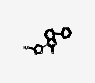 CC1=NO[C@@H](n2c(=O)oc3c(-c4ccccc4)cccc32)C1